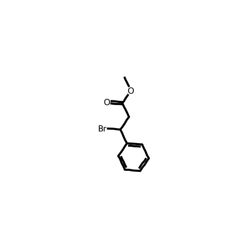 COC(=O)CC(Br)c1ccccc1